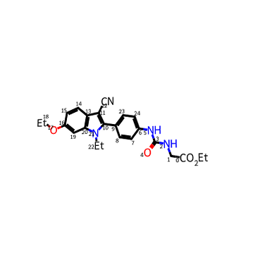 CCOC(=O)CNC(=O)Nc1ccc(-c2c(C#N)c3ccc(OCC)cc3n2CC)cc1